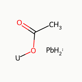 CC(=O)[O][U].[PbH2]